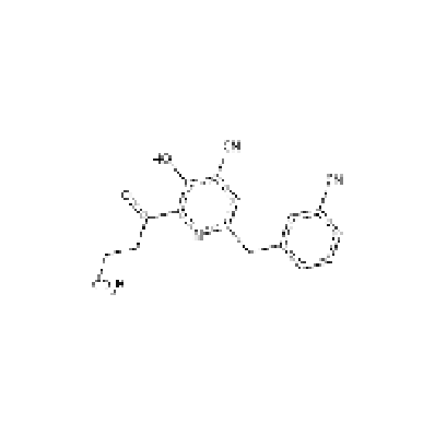 N#Cc1cccc(Cc2cc(C#N)c(O)c(C(=O)CCC(=O)O)n2)c1